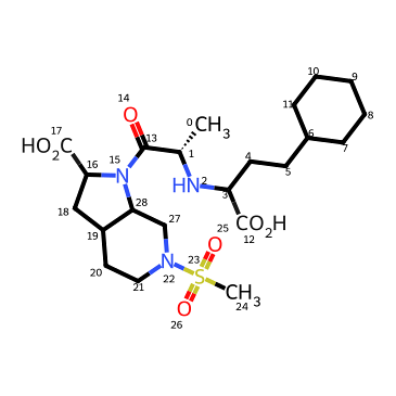 C[C@H](NC(CCC1CCCCC1)C(=O)O)C(=O)N1C(C(=O)O)CC2CCN(S(C)(=O)=O)CC21